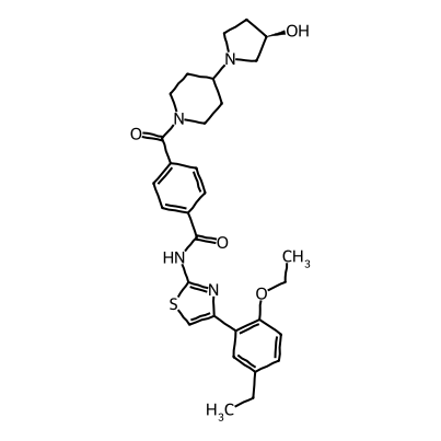 CCOc1ccc(CC)cc1-c1csc(NC(=O)c2ccc(C(=O)N3CCC(N4CC[C@@H](O)C4)CC3)cc2)n1